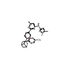 Cc1cc(Nc2cc(C)[nH]n2)nc(-c2ccc(N3CC4CC(C3)N4Cc3ccc(C#N)cn3)nc2)n1